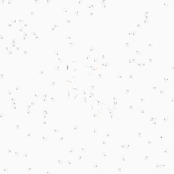 CNc1ncc2cc(-c3cc(C(=O)Nc4cc(C(F)(F)F)ccc4C4CNC(=O)N4C)ccc3C)ccc2n1